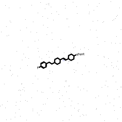 CCCCCC1CCC(/C=C/C2CCC(CCc3ccc(F)cc3)CC2)CC1